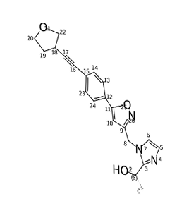 C[C@H](O)c1nccn1Cc1cc(-c2ccc(C#CC3CCOC3)cc2)on1